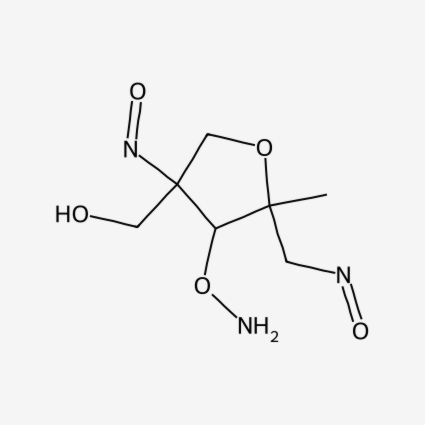 CC1(CN=O)OCC(CO)(N=O)C1ON